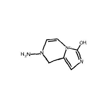 NN1C=C[N+]2C(=CN=C2O)C1